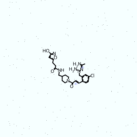 C/C(N)=N/N(N)Cc1cc(Cl)ccc1/C=C/C(=O)N1CCC(CNC(=O)CCc2cc(O)no2)CC1